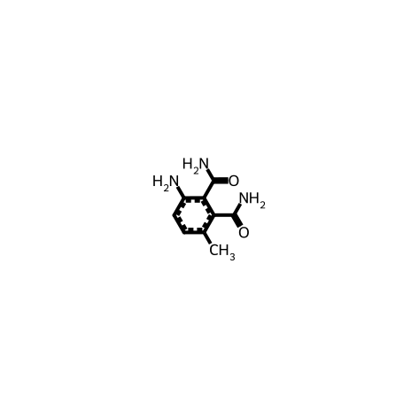 Cc1ccc(N)c(C(N)=O)c1C(N)=O